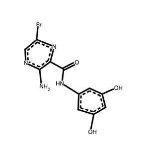 Nc1ncc(Br)nc1C(=O)Nc1cc(O)cc(O)c1